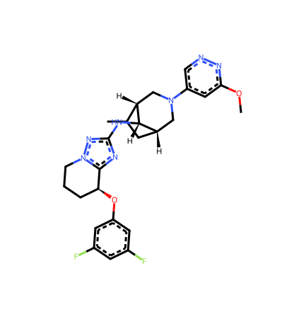 COc1cc(N2C[C@@H]3CC(C)[C@H](C2)[C@H]3Nc2nc3n(n2)CCC[C@@H]3Oc2cc(F)cc(F)c2)cnn1